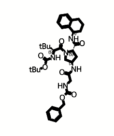 CC(C)(C)OC(=O)N[C@H](C(=O)N1C[C@@H](NC(=O)CNC(=O)OCc2ccccc2)C[C@H]1C(=O)N[C@@H]1CCCc2ccccc21)C(C)(C)C